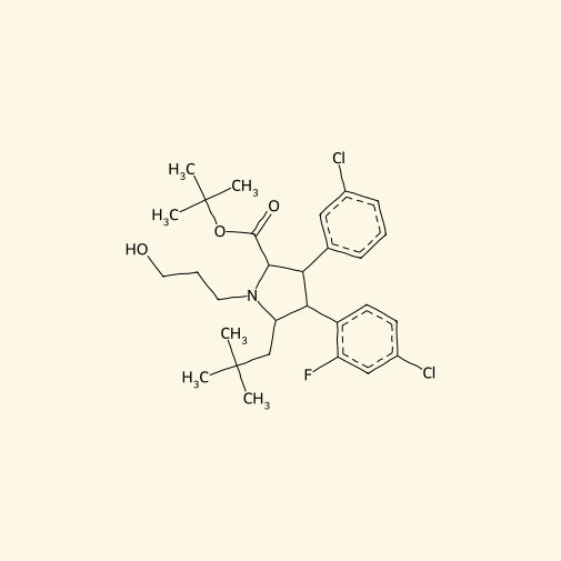 CC(C)(C)CC1C(c2ccc(Cl)cc2F)C(c2cccc(Cl)c2)C(C(=O)OC(C)(C)C)N1CCCO